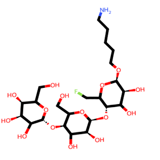 NCCCCCO[C@@H]1OC(CF)[C@@H](O[C@@H]2OC(CO)[C@H](O[C@H]3OC(CO)[C@H](O)[C@H](O)C3O)C(O)[C@@H]2O)C(O)[C@@H]1O